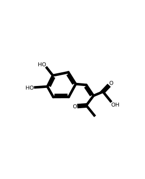 CC(=O)/C(=C\c1ccc(O)c(O)c1)C(=O)O